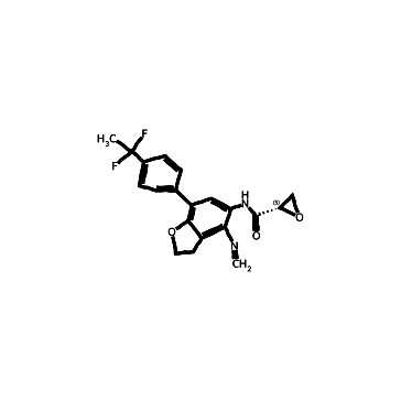 C=Nc1c(NC(=O)[C@@H]2CO2)cc(-c2ccc(C(C)(F)F)cc2)c2c1CCO2